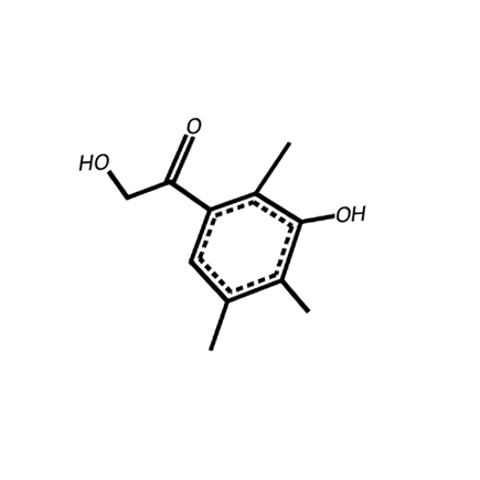 Cc1cc(C(=O)CO)c(C)c(O)c1C